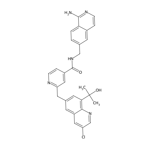 CC(C)(O)c1cc(Cc2cc(C(=O)NCc3ccc4c(N)nccc4c3)ccn2)cc2cc(Cl)cnc12